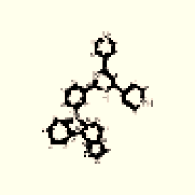 C1=CC(C2C=C(c3ccncc3)N=C(c3cccc(-n4c5ccccc5c5c6occc6ccc54)c3)N2)=CCN1